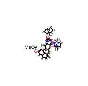 COCOc1cc(-c2c(F)cc3c(N4C[C@H]5CC[C@@H](C4)N5C(=O)OC(C)(C)C)nc(OCC45CCCN4CCC5)nc3c2F)c2c(Cl)c(F)ccc2c1